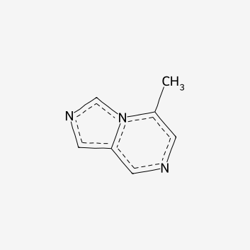 Cc1cncc2cncn12